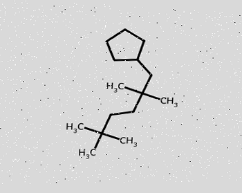 CC(C)(C)CCC(C)(C)CC1CCCC1